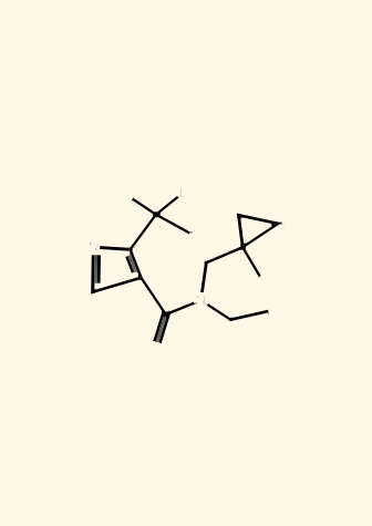 C=C(C1=C(C(F)(F)F)N=C1)N(CC)CC1(C)CC1